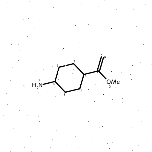 C=C(OC)C1CCC(N)CC1